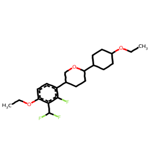 CCOc1ccc(C2CCC(C3CCC(OCC)CC3)OC2)c(F)c1C(F)F